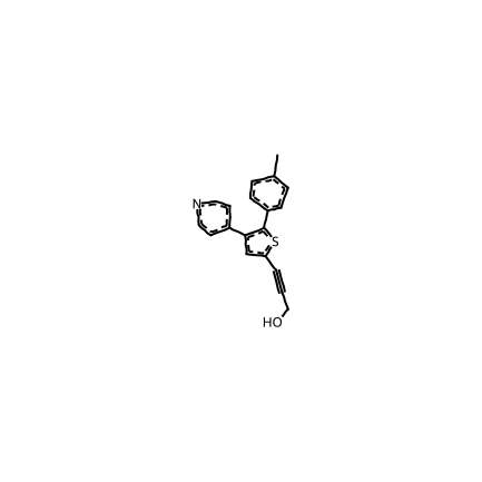 Cc1ccc(-c2sc(C#CCO)cc2-c2ccncc2)cc1